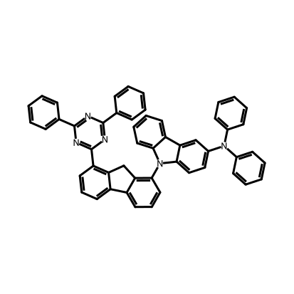 c1ccc(-c2nc(-c3ccccc3)nc(-c3cccc4c3Cc3c-4cccc3-n3c4ccccc4c4cc(N(c5ccccc5)c5ccccc5)ccc43)n2)cc1